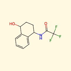 O=C(NC1CCC(O)c2ccccc21)C(F)(F)F